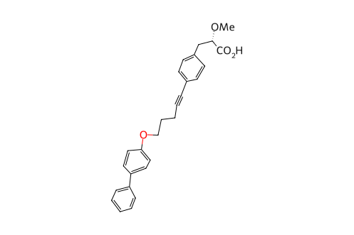 CO[C@@H](Cc1ccc(C#CCCCOc2ccc(-c3ccccc3)cc2)cc1)C(=O)O